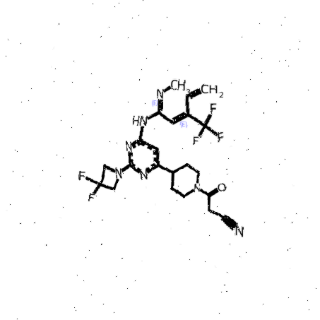 C=C/C(=C\C(=N/C)Nc1cc(C2CCN(C(=O)CC#N)CC2)nc(N2CC(F)(F)C2)n1)C(F)(F)F